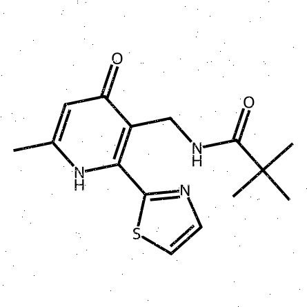 Cc1cc(=O)c(CNC(=O)C(C)(C)C)c(-c2nccs2)[nH]1